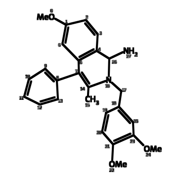 COc1ccc2c(c1)C(c1ccccc1)=C(C)N(Cc1ccc(OC)c(OC)c1)C2N